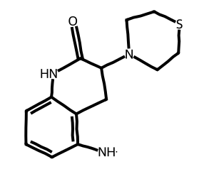 [NH]c1cccc2c1CC(N1CCSCC1)C(=O)N2